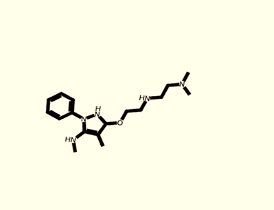 CNC1=C(C)C(OCCNCCN(C)C)NN1c1ccccc1